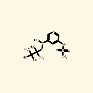 CC(C)(O)C(C)(C)OB(O)c1cncc(NS(C)(=O)=O)c1